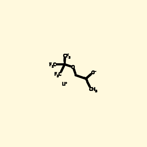 CC([O-])COC(C(F)(F)F)(C(F)(F)F)C(F)(F)F.[Li+]